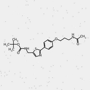 CC(=O)NCCCOc1ccc(-c2ncc(CNC(=O)OC(C)(C)C)s2)cc1